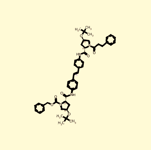 CC(C)(C)O[C@@H]1C[C@@H](C(=O)Nc2ccc(/C=C/c3ccc(NC(=O)[C@@H]4C[C@@H](OC(C)(C)C)CN4C(=O)OCc4ccccc4)cc3)cc2)N(C(=O)CCc2ccccc2)C1